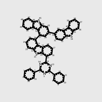 c1ccc(-c2nc(-c3ccccc3)nc(-c3cccc4c3sc3cccc(-c5cc(-c6ccc7sc8ccccc8c7c6)cc6sc7ccccc7c56)c34)n2)cc1